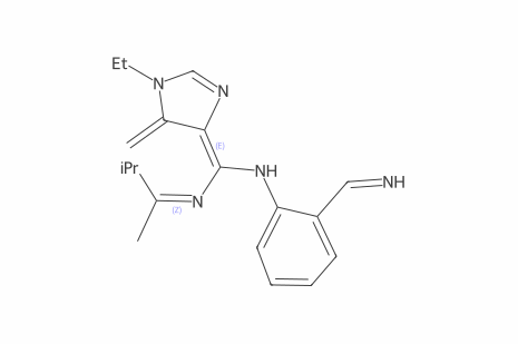 C=c1/c(=C(\N=C(\C)C(C)C)Nc2ccccc2C=N)ncn1CC